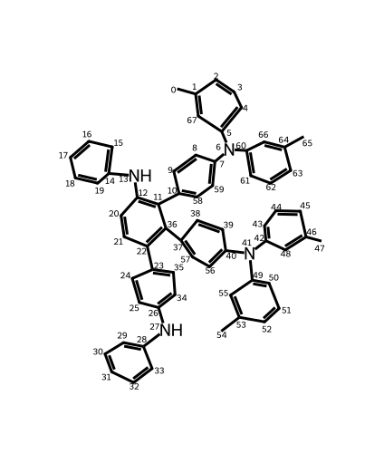 Cc1cccc(N(c2ccc(-c3c(Nc4ccccc4)ccc(-c4ccc(Nc5ccccc5)cc4)c3-c3ccc(N(c4cccc(C)c4)c4cccc(C)c4)cc3)cc2)c2cccc(C)c2)c1